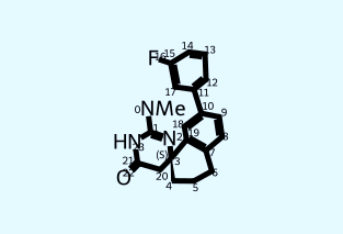 CNC1=N[C@@]2(CCCc3ccc(-c4cccc(F)c4)cc32)CC(=O)N1